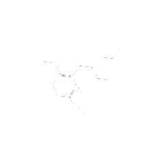 CCC[C@H](CO)Cc1nc(N)ncc1OC